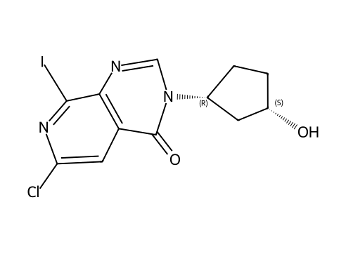 O=c1c2cc(Cl)nc(I)c2ncn1[C@@H]1CC[C@H](O)C1